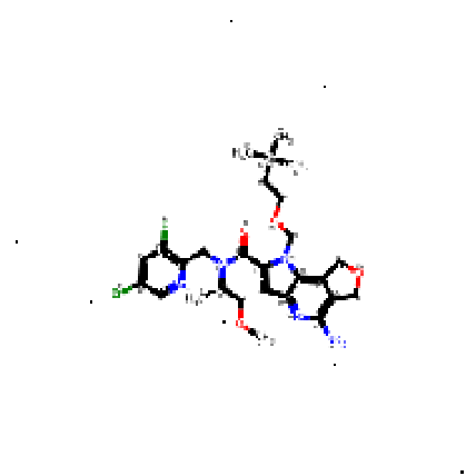 COC[C@@H](C)N(Cc1ncc(Br)cc1F)C(=O)c1cc2nc(N)c3c(c2n1COCC[Si](C)(C)C)COC3